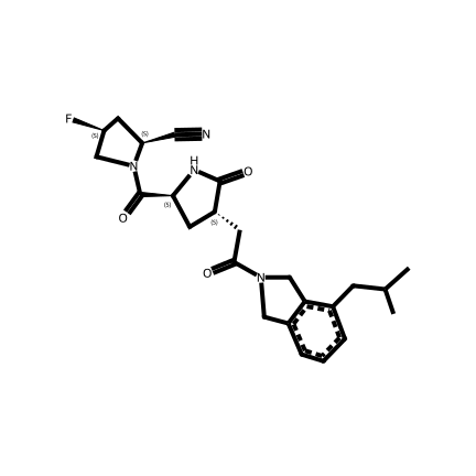 CC(C)Cc1cccc2c1CN(C(=O)C[C@@H]1C[C@@H](C(=O)N3C[C@@H](F)C[C@H]3C#N)NC1=O)C2